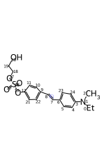 CCN(C)c1ccc(/C=C/c2ccc(OS(=O)(=O)OCCO)cc2)cc1